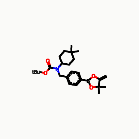 C=C1OB(c2ccc(CN(C(=O)OC(C)(C)C)C3CCC(C)(C)CC3)cc2)OC1(C)C